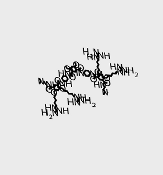 COc1cc(OC)c(C(=O)N[C@H]2CC[C@H](NC(=O)c3cc(C(=O)NCCN(C)C)c(OCCCCCNC(=N)N)cc3OCCCCCNC(=N)N)CC2)cc1C(=O)N[C@H]1CC[C@H](NC(=O)c2cc(C(=O)NCCN(C)C)c(OCCCCCNC(=N)N)cc2OCCCCCNC(=N)N)CC1